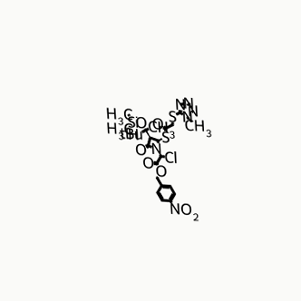 Cn1nnnc1SCC(=O)S[C@@H]1[C@H](C(C)(O[SiH](C)C)C(C)(C)C)C(=O)N1C(Cl)C(=O)OCc1ccc([N+](=O)[O-])cc1